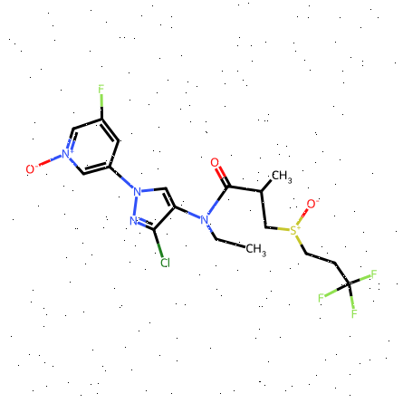 CCN(C(=O)C(C)C[S+]([O-])CCC(F)(F)F)c1cn(-c2cc(F)c[n+]([O-])c2)nc1Cl